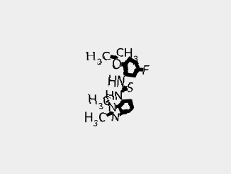 Cc1nc2cccc(NC(=S)Nc3cc(F)ccc3OC(C)C)c2n1C